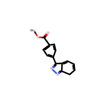 CC(C)(C)OC(=O)c1ccc(C2=NN=C3CC=CC=C32)cc1